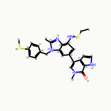 CCSNc1cc(-c2cn(C)c(=O)c3[nH]ccc23)cc2c1nc(C)n2Cc1ccc(SC)cc1